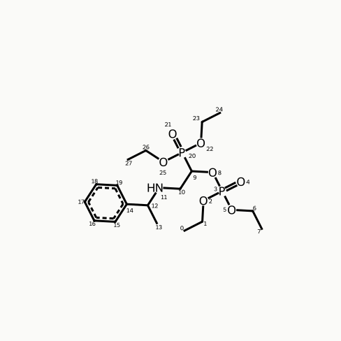 CCOP(=O)(OCC)OC(CNC(C)c1ccccc1)P(=O)(OCC)OCC